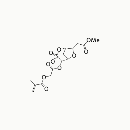 C=C(C)C(=O)OCC(=O)OC1C2CC(OS1(=O)=O)C(CC(=O)OC)O2